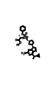 CC(C)OC(=O)[C@H](C)N[P@@](=O)(OC[C@@H]1CC[C@H](n2cnc3c(N(C)C4CC4)nc(N)nc32)O1)Oc1ccccc1